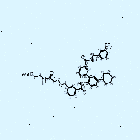 COCCNC(=O)CCSCc1cccc(C(=O)Nc2ccc(N3CCCCC3)cc2-c2cc(C(=O)NCc3cccc(C(F)(F)F)c3)ccn2)c1